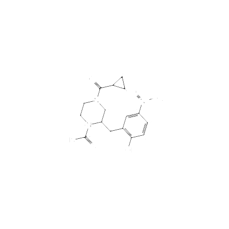 O=C(C1CC1)N1CCN(C(=S)S)C(Cc2cc([N+](=O)[O-])ccc2O)C1